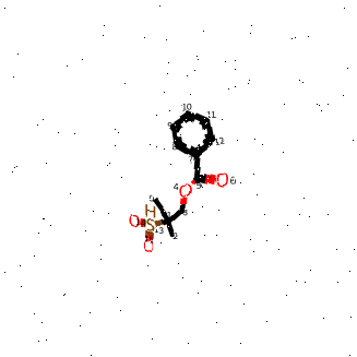 CC(C)(COC(=O)c1ccccc1)[SH](=O)=O